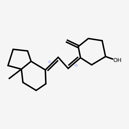 C=C1CCC(O)C/C1=C/C=C1\CCCC2(C)CCCC12